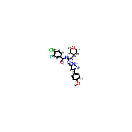 COc1ccc(-c2cc(N/C(=N\C(=O)c3ccc(Cl)c(F)c3)NC3CCOCC3)[nH]n2)cc1